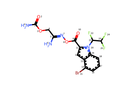 NC(=O)OCC(N)=NOC(=O)c1cc2c(Br)cccc2n1C(F)C(F)F